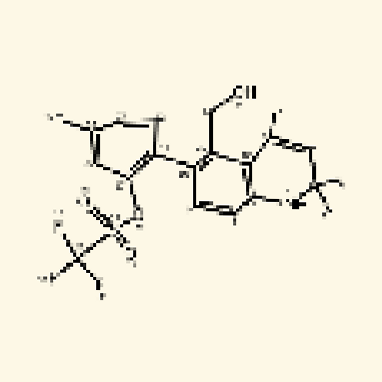 CC1=CC(C)(C)Nc2ccc(-c3ccc(F)cc3OS(=O)(=O)C(F)(F)F)c(CO)c21